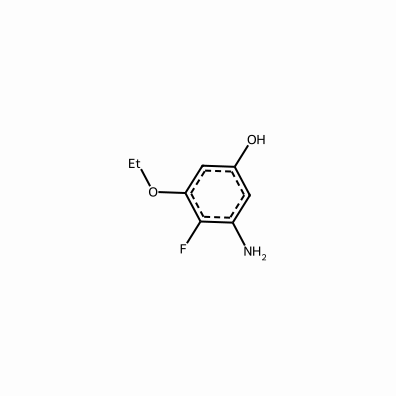 CCOc1cc(O)cc(N)c1F